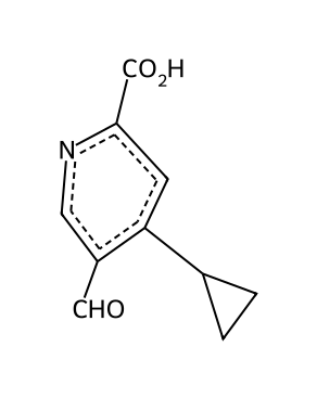 O=Cc1cnc(C(=O)O)cc1C1CC1